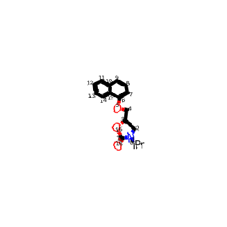 CC(C)N1CC(COc2cccc3ccccc23)OC1=O